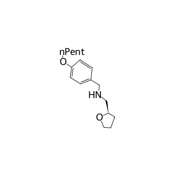 CCCCCOc1ccc(CNC[C@H]2CCCO2)cc1